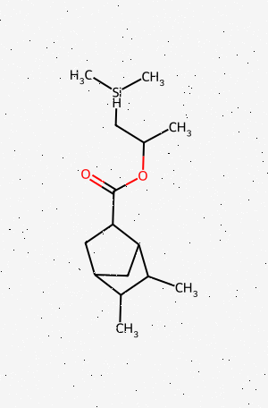 CC(C[SiH](C)C)OC(=O)C1CC2CC1C(C)C2C